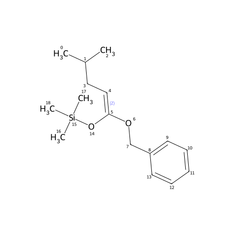 CC(C)C/C=C(/OCc1ccccc1)O[Si](C)(C)C